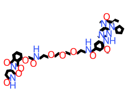 CC[C@@H]1C(=O)N(C)C2=CN(C)C(Nc3ccc(C(=O)NCCCOCCOCCOCCCNC(=O)COc4cccc5c4C(=O)N(C4CCC(=O)NC4=O)C5=O)cc3OC)N=C2N1C1CCCC1